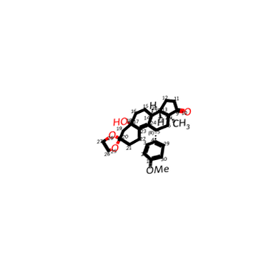 COc1ccc([C@H]2C[C@]3(C)C(=O)CC[C@H]3[C@@H]3CC[C@@]4(O)CC5(CCC4=C32)OCCO5)cc1